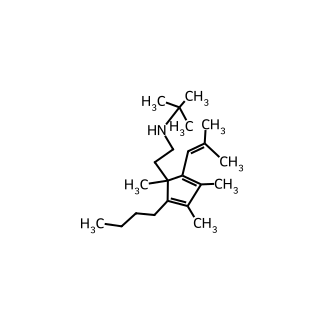 CCCCC1=C(C)C(C)=C(C=C(C)C)C1(C)CCNC(C)(C)C